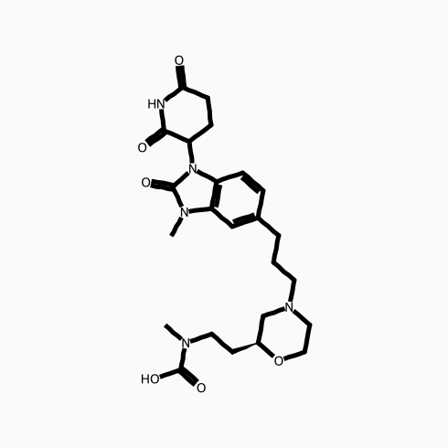 CN(CC[C@H]1CN(CCCc2ccc3c(c2)n(C)c(=O)n3C2CCC(=O)NC2=O)CCO1)C(=O)O